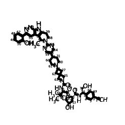 C#Cc1ccc([C@H](CO)NC(=O)[C@@H]2C[C@@H](O)CN2C(=O)[C@@H](NC(=O)N2CC3(CC(N4CCC(c5cnc(N6CCc7[nH]c8nnc(-c9ccccc9O)cc8c7[C@H]6C)nc5)CC4)C3)C2)C(C)(C)C)cc1